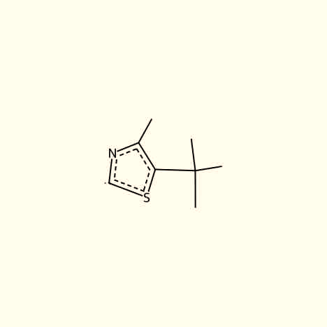 Cc1n[c]sc1C(C)(C)C